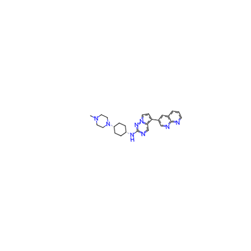 CN1CCN([C@H]2CC[C@@H](Nc3ncc4c(-c5cnc6ncccc6c5)ccn4n3)CC2)CC1